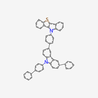 c1ccc(-c2ccc(-n3c4ccc(-c5ccccc5)cc4c4cc(-c5ccc(-n6c7ccccc7c7sc8ccccc8c76)cc5)ccc43)cc2)cc1